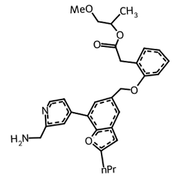 CCCc1cc2cc(COc3ccccc3CC(=O)OC(C)COC)cc(-c3ccnc(CN)c3)c2o1